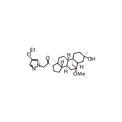 CCOc1cnn(CC(=O)[C@H]2CC[C@H]3[C@@H]4CC[C@@H]5C[C@](C)(O)CC[C@]5(CCOC)[C@H]4CC[C@]23C)c1